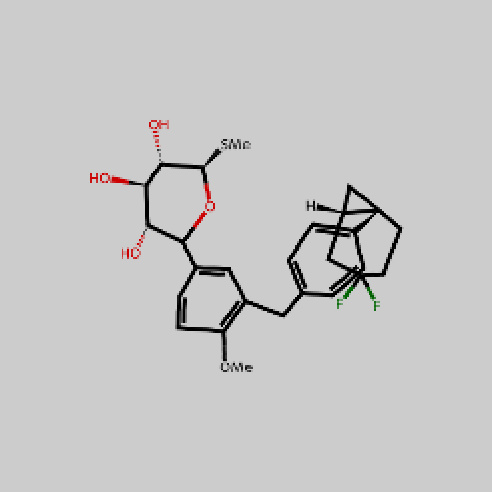 COc1ccc(C2O[C@H](SC)[C@@H](O)[C@H](O)[C@H]2O)cc1Cc1ccc([C@@]23CCC(F)(F)C[C@@H]2C3)cc1